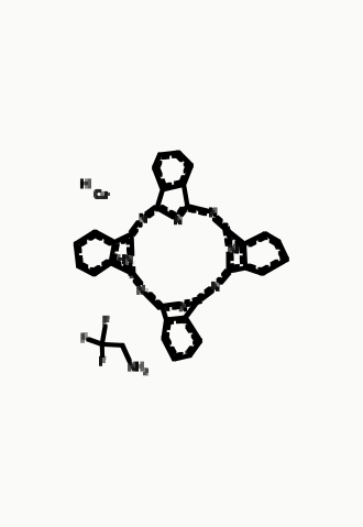 I.NCC(F)(F)F.[Cu].c1ccc2c(c1)-c1nc-2nc2[nH]c(nc3nc(nc4[nH]c(n1)c1ccccc41)-c1ccccc1-3)c1ccccc21